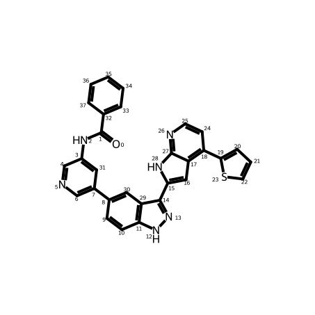 O=C(Nc1cncc(-c2ccc3[nH]nc(-c4cc5c(-c6cccs6)ccnc5[nH]4)c3c2)c1)c1ccccc1